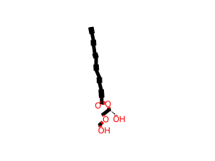 C#CC#CC#CC#CC#CC#CC(=O)O[C@H](CO)COCO